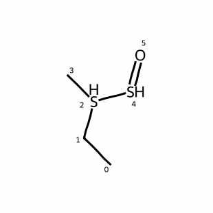 CC[SH](C)[SH]=O